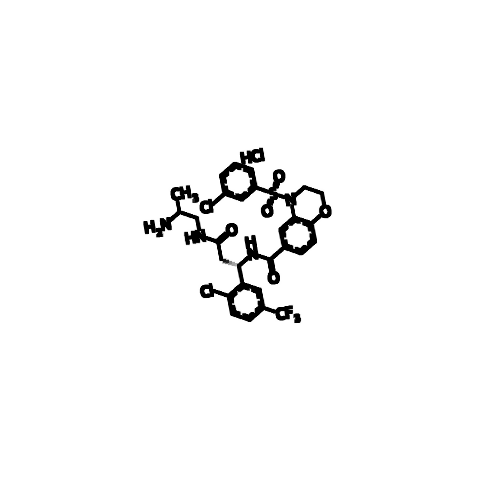 CC(N)CNC(=O)C[C@H](NC(=O)c1ccc2c(c1)N(S(=O)(=O)c1cccc(Cl)c1)CCO2)c1cc(C(F)(F)F)ccc1Cl.Cl